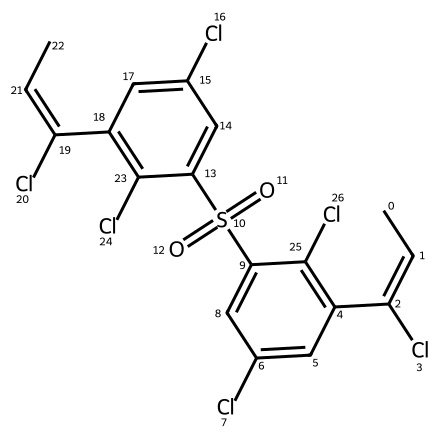 C/C=C(/Cl)c1cc(Cl)cc(S(=O)(=O)c2cc(Cl)cc(/C(Cl)=C\C)c2Cl)c1Cl